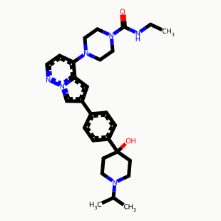 CCNC(=O)N1CCN(c2ccnn3cc(-c4ccc(C5(O)CCN(C(C)C)CC5)cc4)cc23)CC1